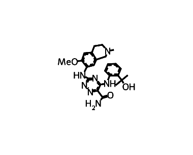 COc1cc2c(cc1Nc1nnc(C(N)=O)c(Nc3ccccc3C(C)(C)O)n1)CN(C)CC2